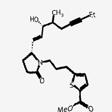 CCC#CCC(C)[C@@H](O)/C=C/[C@H]1CCC(=O)N1CCCc1ccc(C(=O)OC)s1